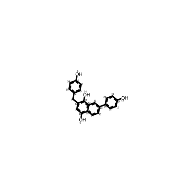 Oc1ccc(Cc2cc(O)c3ccc(-c4ccc(O)cc4)cc3c2O)cc1